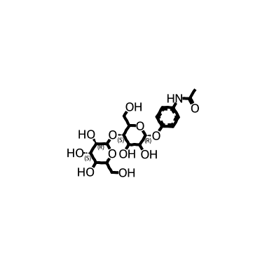 CC(=O)Nc1ccc(O[C@H]2OC(CO)[C@@H](OC3OC(CO)C(O)[C@H](O)[C@H]3O)C(O)C2O)cc1